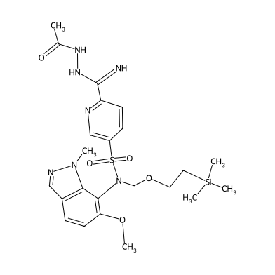 COc1ccc2cnn(C)c2c1N(COCC[Si](C)(C)C)S(=O)(=O)c1ccc(C(=N)NNC(C)=O)nc1